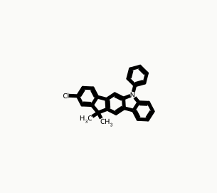 CC1(C)c2cc(Cl)ccc2-c2cc3c(cc21)c1ccccc1n3-c1ccccc1